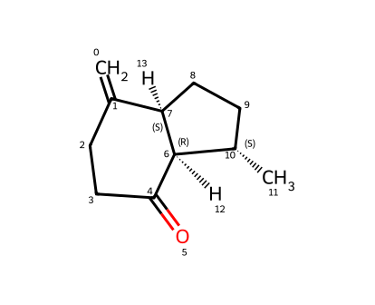 C=C1CCC(=O)[C@H]2[C@@H]1CC[C@@H]2C